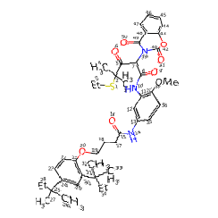 CCSC(C)(C)C(=O)C(C(=O)Nc1cc(NC(=O)CCCOc2ccc(C(C)(C)CC)cc2C(C)(C)CC)ccc1OC)n1c(=O)oc2ccccc2c1=O